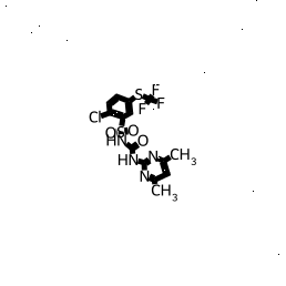 Cc1cc(C)nc(NC(=O)NS(=O)(=O)c2cc(SC(F)(F)F)ccc2Cl)n1